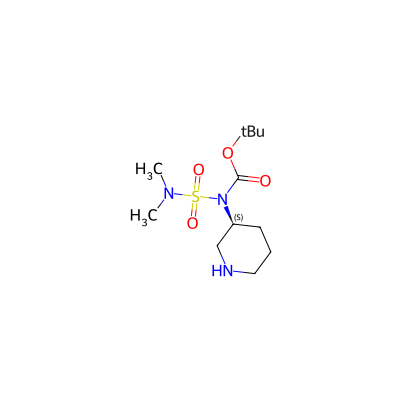 CN(C)S(=O)(=O)N(C(=O)OC(C)(C)C)[C@H]1CCCNC1